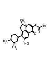 CC1Cc2c(N3CCN(C)[C@@H](C)C3)c(F)cc3c(=O)c(OC(=O)O)cn1c23.Cl